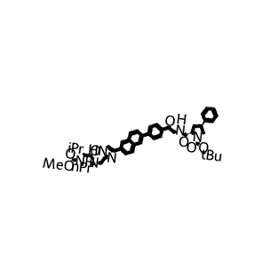 CCCN(Cc1nc(-c2ccc3cc(-c4ccc(C(=O)CNC(=O)[C@@H]5C[C@@H](c6ccccc6)CN5C(=O)OC(C)(C)C)cc4)ccc3c2)c[nH]1)C(=O)[C@@H](NC(=O)OC)C(C)C